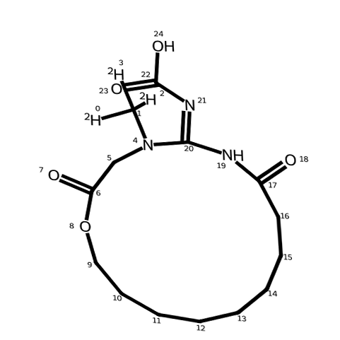 [2H]C([2H])([2H])N1CC(=O)OCCCCCCCCC(=O)N/C1=N/C(=O)O